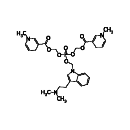 CN1C=CCC(C(=O)OCOP(=O)(OCOC(=O)C2=CN(C)C=CC2)OCn2cc(CCN(C)C)c3ccccc32)=C1